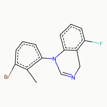 Cc1c(Br)cccc1N1C=NCc2c(F)cccc21